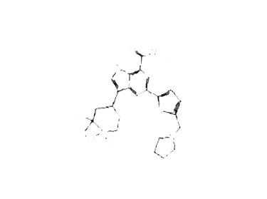 CC1(C)CC(c2c[nH]c3c(C(N)=O)cc(-c4ccc(CN5CCCC5)s4)cc23)CCS1(O)O